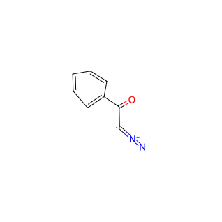 [N-]=[N+]=[C]C(=O)c1ccccc1